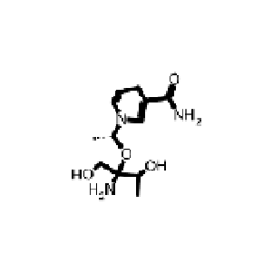 CC(O)C(N)(CO)O[C@H](C)N1C=CCC(C(N)=O)=C1